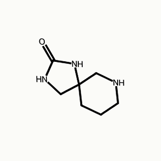 O=C1NCC2(CCCNC2)N1